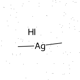 I.[CH3][Ag][CH3]